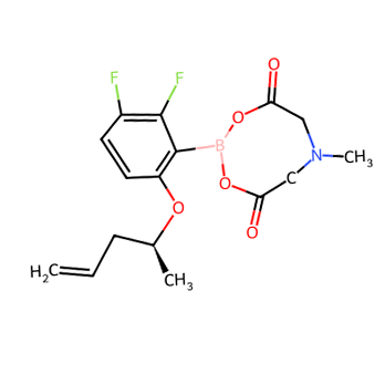 C=CC[C@H](C)Oc1ccc(F)c(F)c1B1OC(=O)CN(C)CC(=O)O1